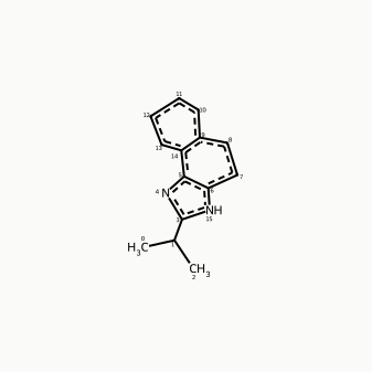 CC(C)c1nc2c(ccc3ccccc32)[nH]1